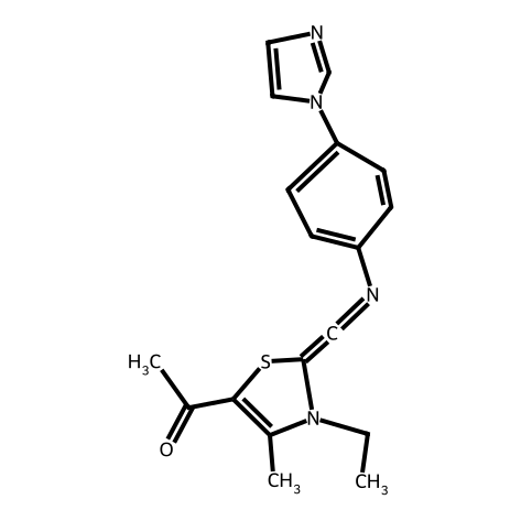 CCN1C(=C=Nc2ccc(-n3ccnc3)cc2)SC(C(C)=O)=C1C